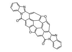 O=c1c2cc3oc4cc5c(=O)n6c7ccccc7nc6c6cc7oc8cc(c2c2c3c4c(c56)c7c82)c2nc3ccccc3n12